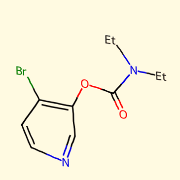 CCN(CC)C(=O)Oc1cnccc1Br